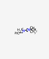 C#CCN(C)C1CN(C(C)(C)C)C1